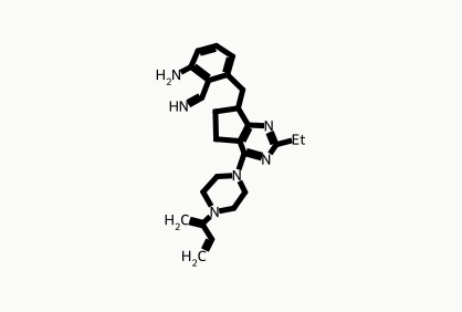 C=CC(=C)N1CCN(c2nc(CC)nc3c2CCC3Cc2cccc(N)c2C=N)CC1